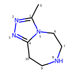 Cc1nnc2n1CCNCC2